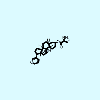 CC(N)C(=O)O[C@H]1CC[C@@]2(C)[C@H](CC[C@@H]3[C@@H]2CC[C@]2(C)[C@@H](C4=COCC=C4)CC[C@]32O)C1